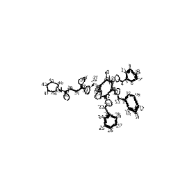 C[C@H]1[C@H](OCc2ccccc2)[C@@H](OCc2ccccc2)C(OCc2ccccc2)O[C@@H]1COC(=O)CCC(=O)N1CCCCC1